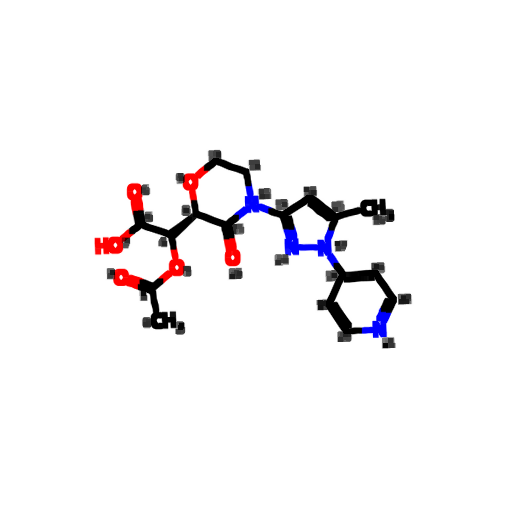 CC(=O)OC(C(=O)O)[C@H]1OCCN(c2cc(C)n(-c3ccncc3)n2)C1=O